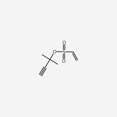 C#CC(C)(C)OS(=O)(=O)C=C